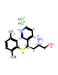 Cl.Cl.N#Cc1ccc(C(F)(F)F)cc1S[C@H](C[C@H](N)CO)c1cccnc1